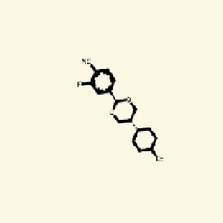 CCC1CCC([C@H]2CO[C@H](c3ccc(C#N)c(F)c3)OC2)CC1